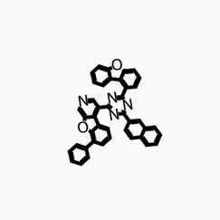 c1ccc(-c2cccc3c2oc2cncc(-c4nc(-c5ccc6ccccc6c5)nc(-c5cccc6oc7ccccc7c56)n4)c23)cc1